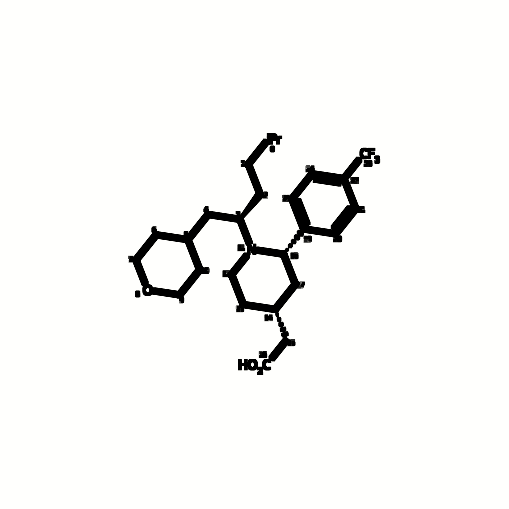 CC(C)CC[C@H](CC1CCOCC1)N1CC[C@@H](CC(=O)O)C[C@H]1c1ccc(C(F)(F)F)cc1